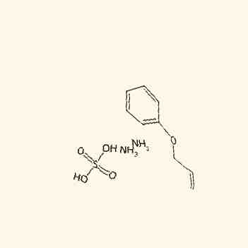 C=CCOc1ccccc1.N.N.O=S(=O)(O)O